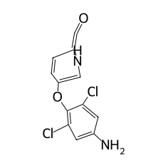 Nc1cc(Cl)c(OC2=CNC(=C=O)C=C2)c(Cl)c1